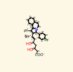 CC(C)c1c(/C=C/C(O)CC(O)CC(=O)[O-])c(-c2ccc(F)cc2)n2ccc3ccccc3c12.[Na+]